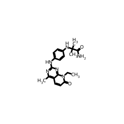 CCn1c(=O)ccc2c(C)nc(Nc3ccc(NC(C)(C)C(N)=O)cc3)nc21